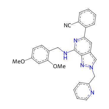 COc1ccc(CNc2nc(-c3ccccc3C#N)cc3cn(Cc4ccccn4)nc23)c(OC)c1